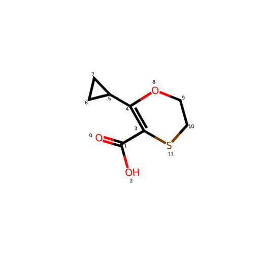 O=C(O)C1=C(C2CC2)OCCS1